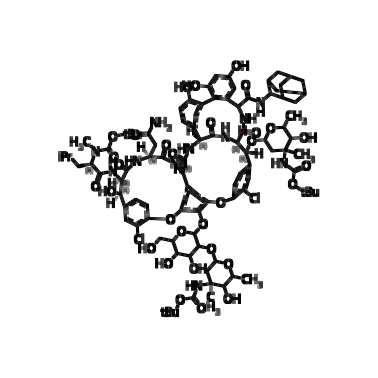 CC(C)C[C@H](C(=O)N[C@H]1C(=O)N[C@@H](CC(N)=O)C(=O)N[C@H]2C(=O)N[C@H]3C(=O)N[C@@H](C(=O)NC(C(=O)NC4C5CC6CC(C5)CC4C6)c4cc(O)cc(O)c4-c4cc3ccc4O)[C@H](OC3CC(C)(NC(=O)OC(C)(C)C)C(O)C(C)O3)c3ccc(c(Cl)c3)Oc3cc2cc(c3OC2OC(CO)C(O)C(O)C2OC2CC(C)(NC(=O)OC(C)(C)C)C(O)C(C)O2)Oc2ccc(cc2Cl)[C@H]1O)N(C)C(=O)OC(C)(C)C